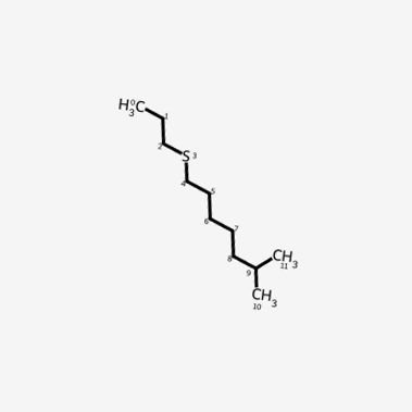 CCCSCCCCCC(C)C